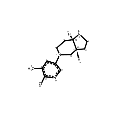 Cc1cc(N2CC[C@@H]3NCC[C@@H]3C2)cnc1Cl